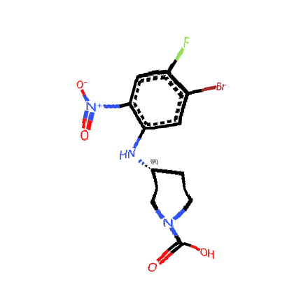 O=C(O)N1CC[C@@H](Nc2cc(Br)c(F)cc2[N+](=O)[O-])C1